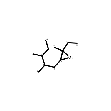 CCC(C)C(C)CC1OC1(C)CC